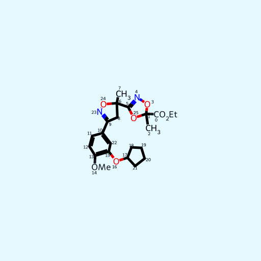 CCOC(=O)C1(C)ON=C(C2(C)CC(c3ccc(OC)c(OC4CCCC4)c3)=NO2)O1